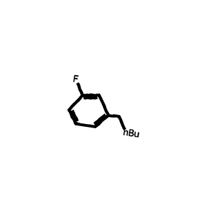 CC[CH]CCc1cccc(F)c1